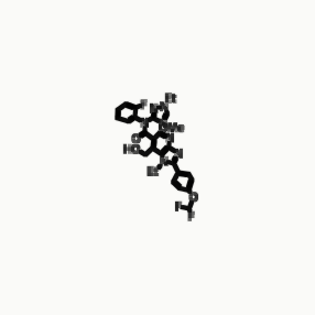 CCn1cnc(N(C(=O)c2c(OC)nc3nc(-c4ccc(OC(F)F)cc4)n(CC)c3c2CO)c2ccccc2F)n1